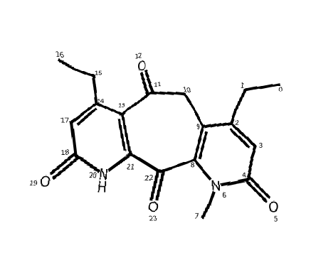 CCc1cc(=O)n(C)c2c1CC(=O)c1c(CC)cc(=O)[nH]c1C2=O